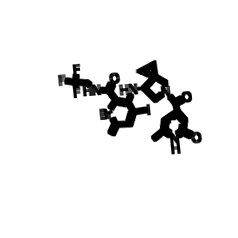 C=C(Br)/C=C(I)\C(N[C@H]1CN(C(=O)c2cc(C)[nH]c(=O)c2)CC12CC2)=C(/C)C(=O)NCC(F)(F)F